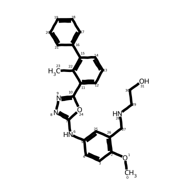 COc1ccc(Nc2nnc(-c3cccc(-c4ccccc4)c3C)o2)cc1CNCCO